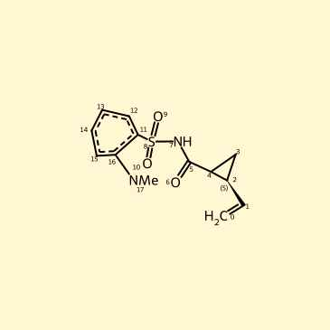 C=C[C@@H]1CC1C(=O)NS(=O)(=O)c1ccccc1NC